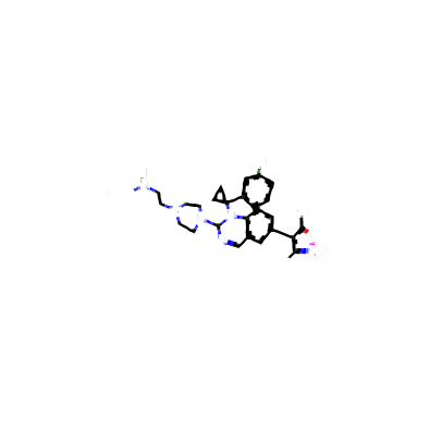 Cc1noc(C)c1-c1ccc2c(c1)C=NC(N1CCN(CCN(C)C)CC1)N2C1(c2cccc(Cl)c2)CC1